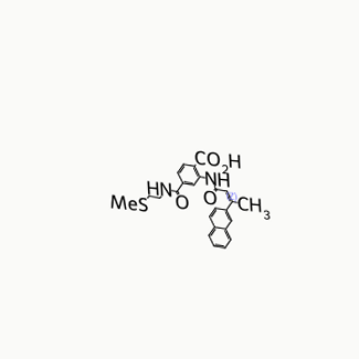 CSCCNC(=O)c1ccc(C(=O)O)c(NC(=O)/C=C(/C)c2ccc3ccccc3c2)c1